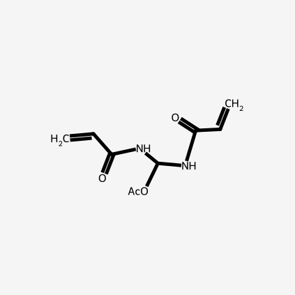 C=CC(=O)NC(NC(=O)C=C)OC(C)=O